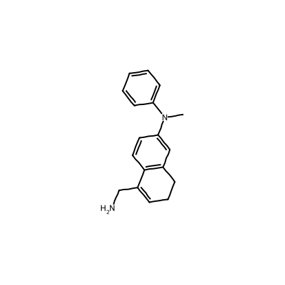 CN(c1ccccc1)c1ccc2c(c1)CCC=C2CN